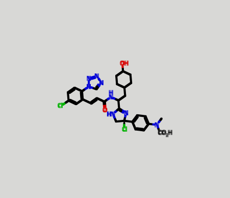 CN(C(=O)O)c1ccc([C@]2(Cl)CNC(C(CC3CCC(O)CC3)NC(=O)C=Cc3cc(Cl)ccc3-n3cnnn3)=N2)cc1